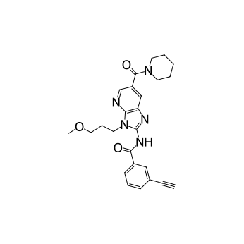 C#Cc1cccc(C(=O)Nc2nc3cc(C(=O)N4CCCCC4)cnc3n2CCCOC)c1